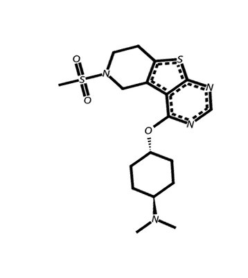 CN(C)[C@H]1CC[C@H](Oc2ncnc3sc4c(c23)CN(S(C)(=O)=O)CC4)CC1